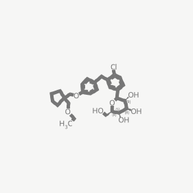 CCOCC1(COc2ccc(Cc3cc(C4O[C@H](CO)[C@@H](O)[C@H](O)[C@H]4O)ccc3Cl)cc2)CCCC1